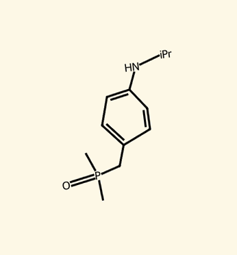 CC(C)Nc1ccc(CP(C)(C)=O)cc1